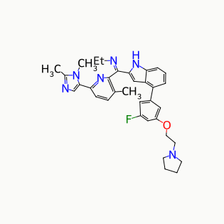 CC/N=C(/c1cc2c(-c3cc(F)cc(OCCN4CCCC4)c3)cccc2[nH]1)c1nc(-c2cnc(C)n2C)ccc1C